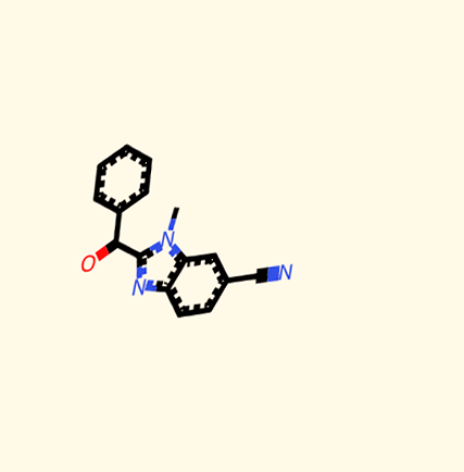 Cn1c(C(=O)c2ccccc2)nc2ccc(C#N)cc21